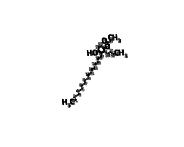 CCCCCCCCCCCCCCCCCCc1c(O)ccc(OC(=O)CC)c1CCCC